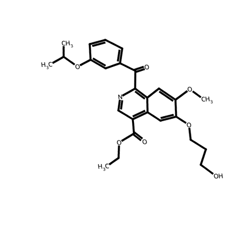 CCOC(=O)c1cnc(C(=O)c2cccc(OC(C)C)c2)c2cc(OC)c(OCCCO)cc12